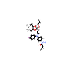 C=CC(=O)Nc1ccc(N(CCC[Si](OCCC)(OCCC)OCCC)c2ccccc2)cc1.I